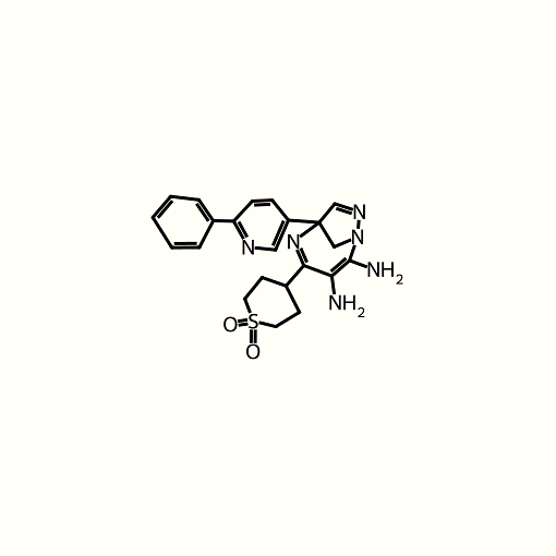 NC1=C(N)N2CC(c3ccc(-c4ccccc4)nc3)(C=N2)N=C1C1CCS(=O)(=O)CC1